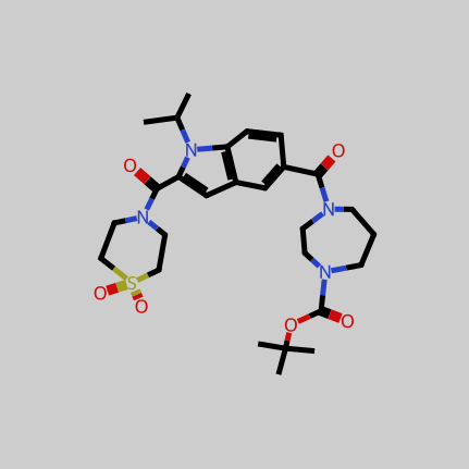 CC(C)n1c(C(=O)N2CCS(=O)(=O)CC2)cc2cc(C(=O)N3CCCN(C(=O)OC(C)(C)C)CC3)ccc21